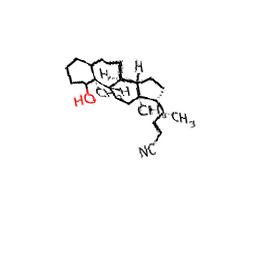 C[C@H](CCC#N)[C@H]1CC[C@H]2[C@@H]3CCC4CCCC(O)[C@]4(C)[C@H]3CC[C@]12C